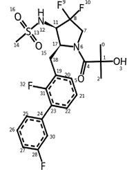 CC(C)(O)C(=O)N1CC(F)(F)[C@H](NS(C)(=O)=O)[C@@H]1Cc1cccc(-c2cccc(F)c2)c1F